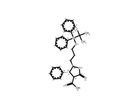 CC(C)(C)[Si](OCCC[C@H]1OC(=O)C(C(=O)O)[C@@H]1c1ccccc1)(c1ccccc1)c1ccccc1